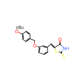 CCCCOc1ccc(COc2cccc(/C=C3\SC(=S)NC3=O)c2)cc1